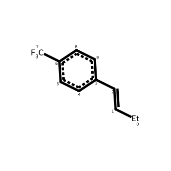 [CH2]CC=Cc1ccc(C(F)(F)F)cc1